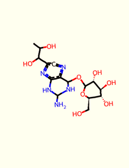 CC(O)C(O)c1cnc2c(n1)NC(N)NC2OC1O[C@H](CO)[C@@H](O)[C@H](O)[C@H]1O